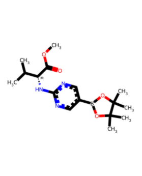 COC(=O)[C@H](Nc1ncc(B2OC(C)(C)C(C)(C)O2)cn1)C(C)C